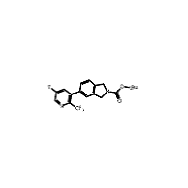 CC(C)(C)OC(=O)N1Cc2ccc(-c3cc(F)cnc3C(F)(F)F)cc2C1